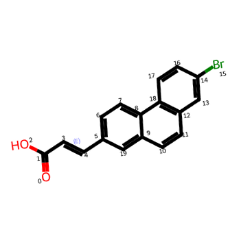 O=C(O)/C=C/c1ccc2c(ccc3cc(Br)ccc32)c1